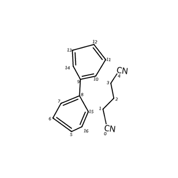 N#CCCCC#N.c1ccc(-c2ccccc2)cc1